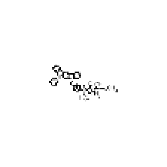 C=C(CCCC)OC(=O)C(C)(CC)C(CC)c1ccc(Cn2c3ccccc3c3cc4c5ccccc5n(-c5ccccc5)c4cc32)cc1